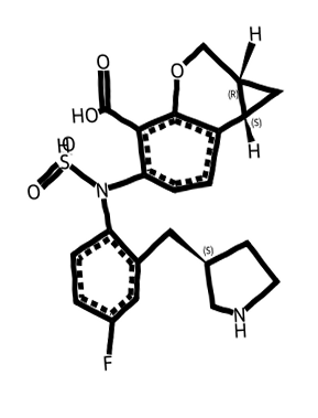 O=C(O)c1c(N(c2ccc(F)cc2C[C@H]2CCNC2)[SH](=O)=O)ccc2c1OC[C@@H]1C[C@H]21